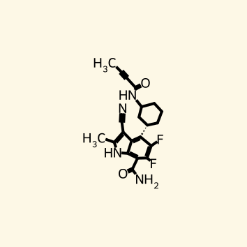 CC#CC(=O)NC1CCC[C@H](c2c(F)c(F)c(C(N)=O)c3[nH]c(C)c(C#N)c23)C1